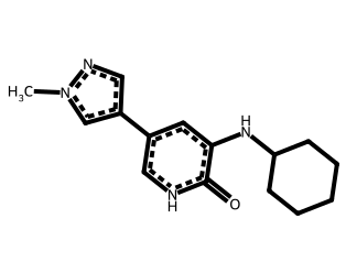 Cn1cc(-c2c[nH]c(=O)c(NC3CCCCC3)c2)cn1